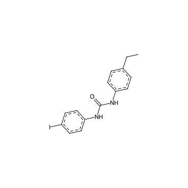 CCc1ccc(NC(=O)Nc2ccc(I)cc2)cc1